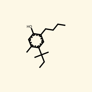 CCCCc1cc(C(C)(C)CC)c(C)cc1O